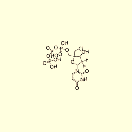 O=c1ccn(C2O[C@](CCl)(COP(=O)(O)OP(=O)(O)OP(=O)(O)O)[C@@H](O)C2(F)F)c(=O)[nH]1